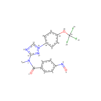 CN(C(=O)c1ccc(N=O)cc1)c1ncn(-c2ccc(OC(F)(F)F)cc2)n1